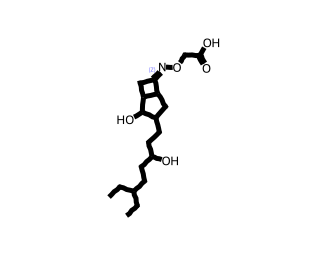 CCC(CC)CCC(O)CCC1CC2/C(=N\OCC(=O)O)CC2C1O